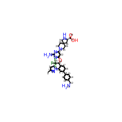 Cc1ccn(-c2cc(-c3ccc(CN)cc3)ccc2[C@@H](Oc2cc(N3CCC4(CC3)CN[C@H](C(=O)O)C4)nc(N)n2)C(F)(F)F)n1